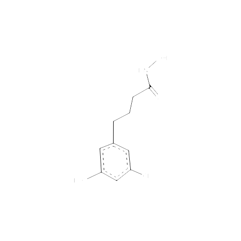 Cc1cc(C)cc(CCCC(=O)NO)c1